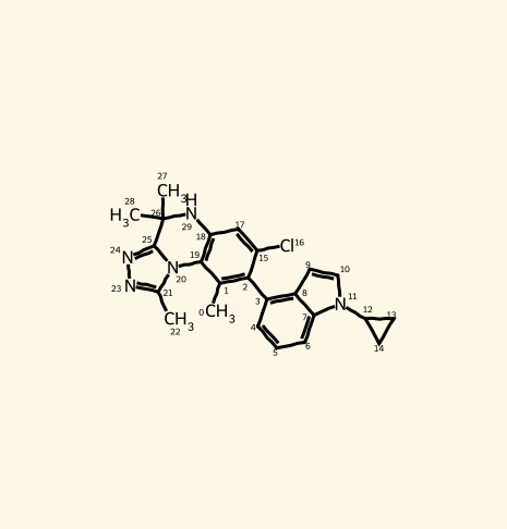 Cc1c(-c2cccc3c2ccn3C2CC2)c(Cl)cc2c1-n1c(C)nnc1C(C)(C)N2